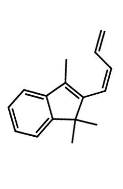 C=C/C=C\C1=C(C)c2ccccc2C1(C)C